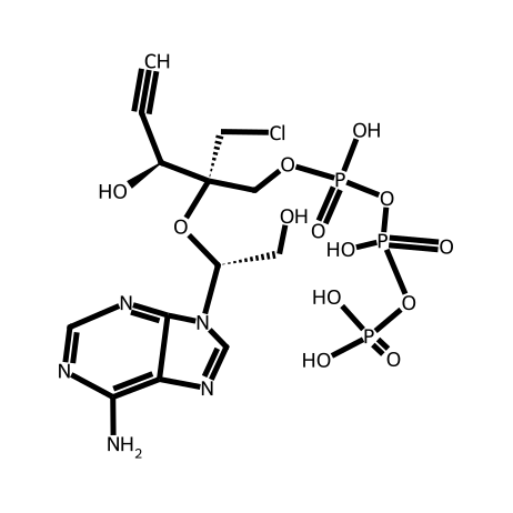 C#C[C@H](O)[C@@](CCl)(COP(=O)(O)OP(=O)(O)OP(=O)(O)O)O[C@H](CO)n1cnc2c(N)ncnc21